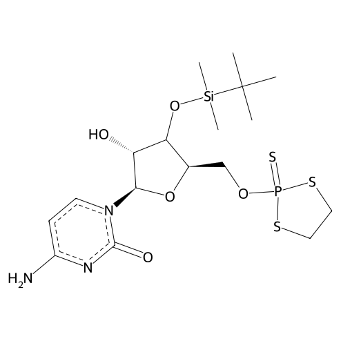 CC(C)(C)[Si](C)(C)OC1[C@@H](O)[C@H](n2ccc(N)nc2=O)O[C@@H]1COP1(=S)SCCS1